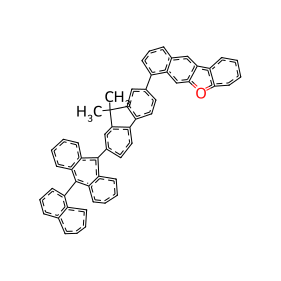 CC1(C)c2cc(-c3cccc4cc5c(cc34)oc3ccccc35)ccc2-c2ccc(-c3c4ccccc4c(-c4cccc5ccccc45)c4ccccc34)cc21